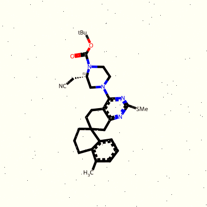 CSc1nc2c(c(N3CCN(C(=O)OC(C)(C)C)[C@@H](CC#N)C3)n1)CCC1(CCCc3c(C)cccc31)C2